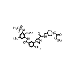 COc1c(NC(=O)c2ccc(C)c(-n3cc(C(=O)NCC4CCN(OC(=O)OC(C)(C)C)CC4)nn3)c2)cc(C(C)(C)C)cc1NS(C)(=O)=O